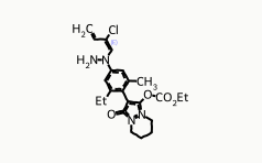 C=C/C(Cl)=C\N(N)c1cc(C)c(-c2c(OC(=O)OCC)n3n(c2=O)CCCC3)c(CC)c1